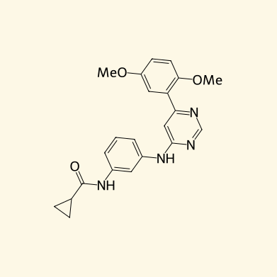 COc1ccc(OC)c(-c2cc(Nc3cccc(NC(=O)C4CC4)c3)ncn2)c1